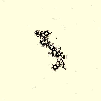 CCCN(CC(=O)Nc1ccc(-c2[nH]c3ccc(NC(=O)[C@@H]4CCCN4C(=O)[C@H](NC(=O)OC(C)(C)C)c4ccccc4)cc3c2C(=O)O)cc1)C(=O)Cc1ccccc1